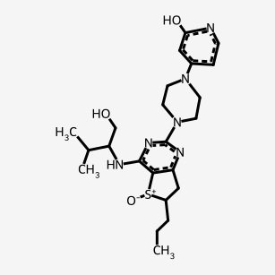 CCCC1Cc2nc(N3CCN(c4ccnc(O)c4)CC3)nc(NC(CO)C(C)C)c2[S+]1[O-]